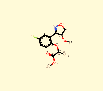 CCO[C@@H]1CON=C1c1cc(F)ccc1O[C@@H](C)C(=O)OC(C)(C)C